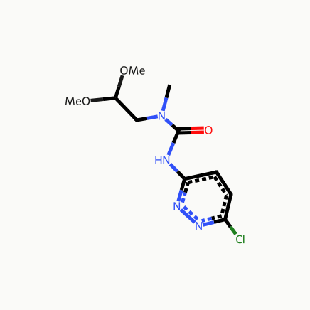 COC(CN(C)C(=O)Nc1ccc(Cl)nn1)OC